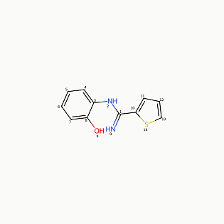 N=C(Nc1ccccc1O)c1cccs1